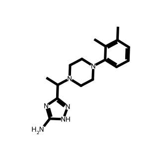 Cc1cccc(N2CCN(C(C)c3n[nH]c(N)n3)CC2)c1C